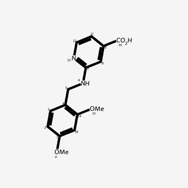 COc1ccc(CNc2cc(C(=O)O)ccn2)c(OC)c1